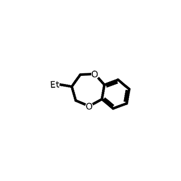 CCC1COc2ccccc2OC1